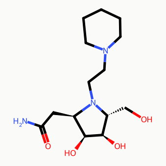 NC(=O)C[C@@H]1[C@H](O)[C@H](O)[C@@H](CO)N1CCN1CCCCC1